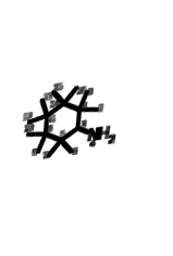 CC1(C)C(N)C(C)(C)C(C)(C)C(C)(C)C1(C)C